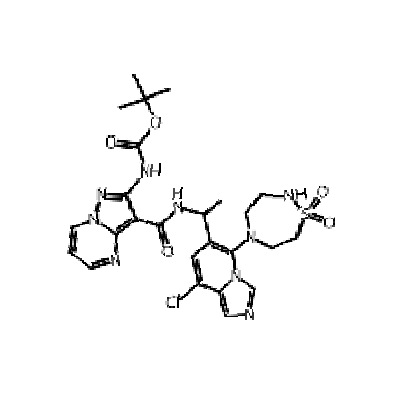 CC(NC(=O)c1c(NC(=O)OC(C)(C)C)nn2cccnc12)c1cc(Cl)c2cncn2c1N1CCNS(=O)(=O)CC1